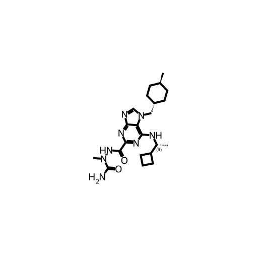 C[C@@H](Nc1nc(C(=O)NN(C)C(N)=O)nc2ncn(C[C@H]3CC[C@H](C)CC3)c12)C1CCC1